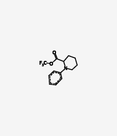 O=C(OC(F)(F)F)C1CCCCN1c1ccccc1